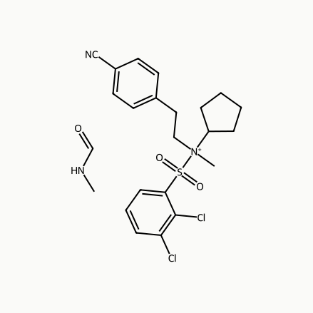 CNC=O.C[N+](CCc1ccc(C#N)cc1)(C1CCCC1)S(=O)(=O)c1cccc(Cl)c1Cl